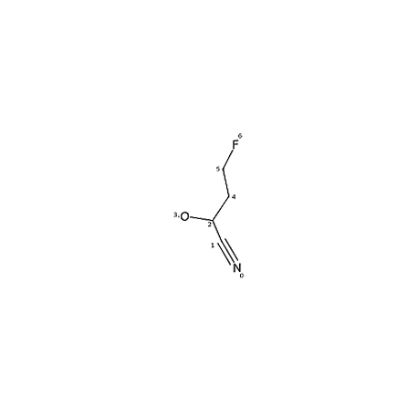 N#CC([O])CCF